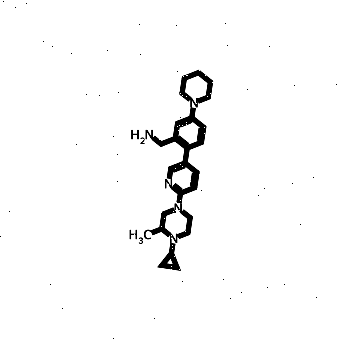 CC1CN(c2ccc(-c3ccc(N4CCCCC4)cc3CN)cn2)CCN1C1CC1